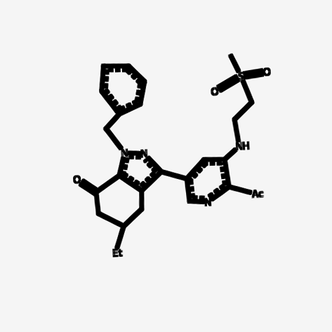 CCC1CC(=O)c2c(c(-c3cnc(C(C)=O)c(NCCS(C)(=O)=O)c3)nn2Cc2ccccc2)C1